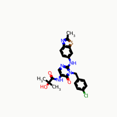 Cc1nc2ccc(Nc3ncc(NC(=O)C(C)(C)O)c(=O)n3Cc3ccc(Cl)cc3)cc2s1